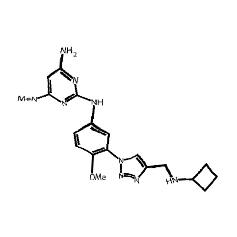 CNc1cc(N)nc(Nc2ccc(OC)c(-n3cc(CNC4CCC4)nn3)c2)n1